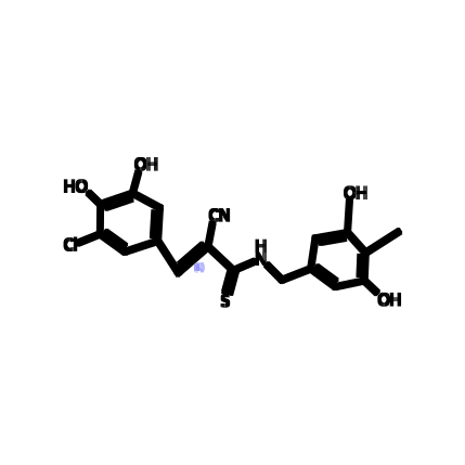 Cc1c(O)cc(CNC(=S)/C(C#N)=C/c2cc(O)c(O)c(Cl)c2)cc1O